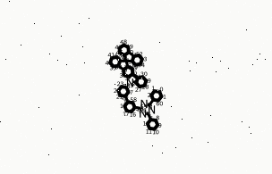 c1ccc(-c2nc(-c3ccccc3)nc(-c3cccc(-c4cccc(-n5c6ccccc6c6cc7c(cc65)-c5ccccc5C75c6ccccc6-c6ccccc65)c4)c3)n2)cc1